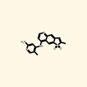 CC1=Cc2cc3nccc(Nc4cc(N)ncc4C)c3cc2S1(=O)=O